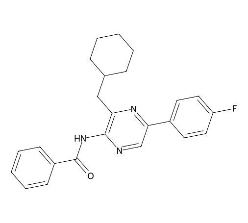 O=C(Nc1ncc(-c2ccc(F)cc2)nc1CC1CCCCC1)c1ccccc1